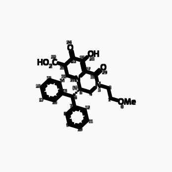 COCCN1C[C@H](C(c2ccccc2)c2ccccc2)N2CC(C(=O)O)C(=O)C(O)=C2C1=O